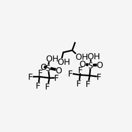 CC(O)CO.O=S(=O)(O)C(F)(F)C(F)(F)F.O=S(=O)(O)C(F)(F)C(F)(F)F